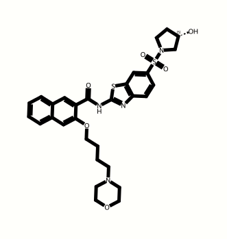 O=C(Nc1nc2ccc(S(=O)(=O)N3CC[C@H](O)C3)cc2s1)c1cc2ccccc2cc1OCCCCN1CCOCC1